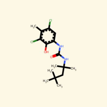 Cc1c(Cl)cc(NC(=O)NC(C)(C)CC(C)(C)C)c(O)c1Cl